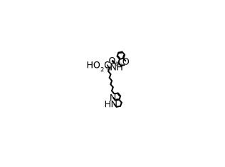 O=C(O)[C@H](CCCCCCCc1ccc2c(n1)NCCC2)NC(=O)[C@H]1CCOc2ccccc21